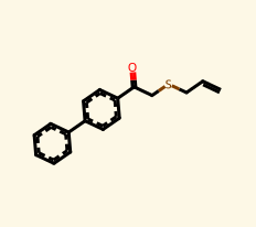 C=CCSCC(=O)c1ccc(-c2ccccc2)cc1